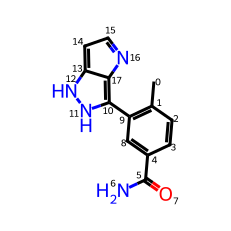 Cc1ccc(C(N)=O)cc1-c1[nH][nH]c2ccnc1-2